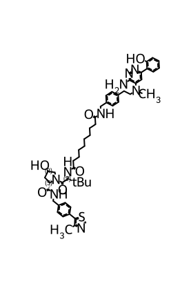 Cc1ncsc1-c1ccc(CNC(=O)[C@@H]2C[C@@H](O)CN2C(=O)[C@@H](NC(=O)CCCCCCCCC(=O)NCc2ccc(CCN(C)c3cc(-c4ccccc4O)nnc3N)cc2)C(C)(C)C)cc1